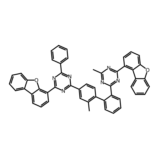 Cc1nc(-c2ccccc2-c2ccc(-c3nc(-c4ccccc4)nc(-c4cccc5c4oc4ccccc45)n3)cc2C)nc(-c2cccc3oc4ccccc4c23)n1